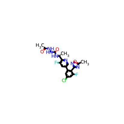 CC(=O)NNC(=O)N[C@H](C)c1ncc(-c2cc(Cl)cc(F)c2-c2noc(C)n2)cc1F